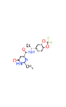 CC[C@@H](NC(=O)c1cc(=O)[nH]c(C)n1)c1ccc2c(c1)OC(F)(F)O2